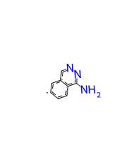 Nc1nncc2c[c]ccc12